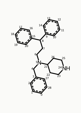 c1ccc(CN(CCC(c2ccccc2)c2ccccc2)C2CCNCC2)cc1